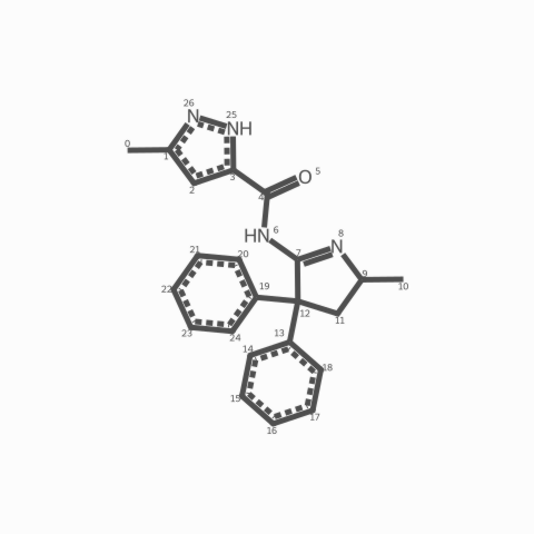 Cc1cc(C(=O)NC2=NC(C)CC2(c2ccccc2)c2ccccc2)[nH]n1